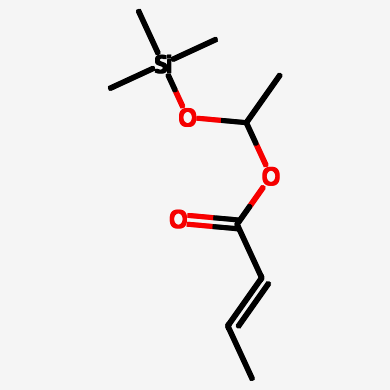 C/C=C/C(=O)OC(C)O[Si](C)(C)C